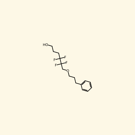 OCCCC(F)(F)C(F)(F)COCCCc1ccccc1